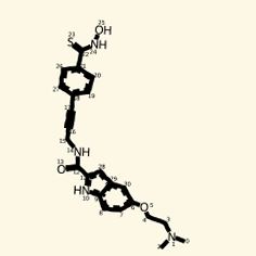 CN(C)CCOc1ccc2[nH]c(C(=O)NCC#Cc3ccc(C(=S)NO)cc3)cc2c1